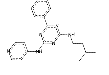 CC(C)CCNc1nc(Nc2ccncc2)nc(-c2ccccc2)n1